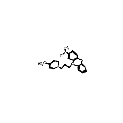 C[S+]([O-])c1ccc2c(c1)N(CCCN1CCC(C(=O)O)CC1)c1ccccc1S2